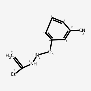 C=C(CC)NNOc1cccc(C#N)c1